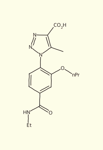 CCCOc1cc(C(=O)NCC)ccc1-n1nnc(C(=O)O)c1C